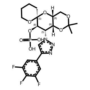 CC1(C)OC[C@H]2O[C@@]3(CCCCO3)[C@H](OP(=O)(O)O)[C@@H](n3cc(-c4cc(F)c(F)c(F)c4)nn3)[C@H]2O1